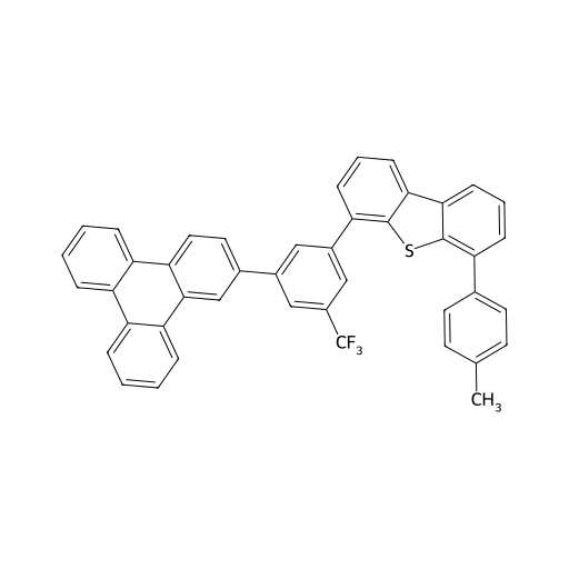 Cc1ccc(-c2cccc3c2sc2c(-c4cc(-c5ccc6c7ccccc7c7ccccc7c6c5)cc(C(F)(F)F)c4)cccc23)cc1